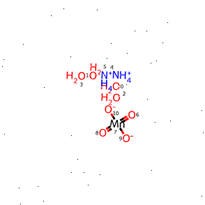 O.O.O.O.[NH4+].[NH4+].[O]=[Mn](=[O])([O-])[O-]